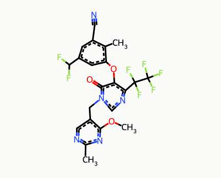 COc1nc(C)ncc1Cn1cnc(C(F)(F)C(F)(F)F)c(Oc2cc(C(F)F)cc(C#N)c2C)c1=O